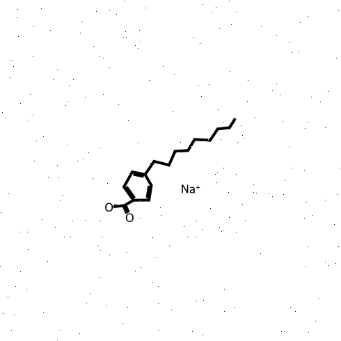 CCCCCCCCCc1ccc(C(=O)[O-])cc1.[Na+]